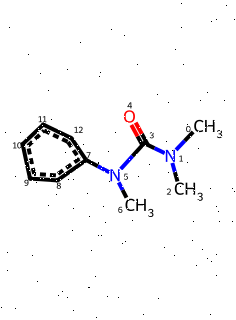 CN(C)C(=O)N(C)c1ccccc1